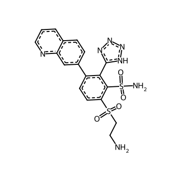 NCCS(=O)(=O)c1ccc(-c2ccc3cccnc3c2)c(-c2nnn[nH]2)c1S(N)(=O)=O